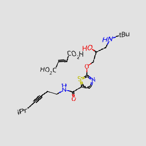 CC(C)C#CCCNC(=O)c1cnc(OCC(O)CNC(C)(C)C)s1.O=C(O)C=CC(=O)O